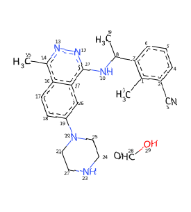 Cc1c(C#N)cccc1C(C)Nc1nnc(C)c2ccc(N3CCNCC3)cc12.O=CO